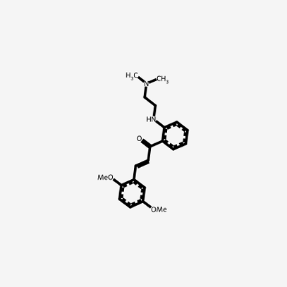 COc1ccc(OC)c(C=CC(=O)c2ccccc2NCCN(C)C)c1